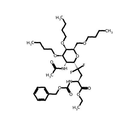 CCCCOC[C@H]1O[C@H](C(F)(F)C[C@H](NC(=O)OCc2ccccc2)C(=O)OCC)[C@H](NC(C)=O)[C@@H](OCCCC)[C@H]1OCCCC